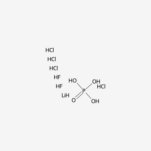 Cl.Cl.Cl.Cl.F.F.O=P(O)(O)O.[LiH]